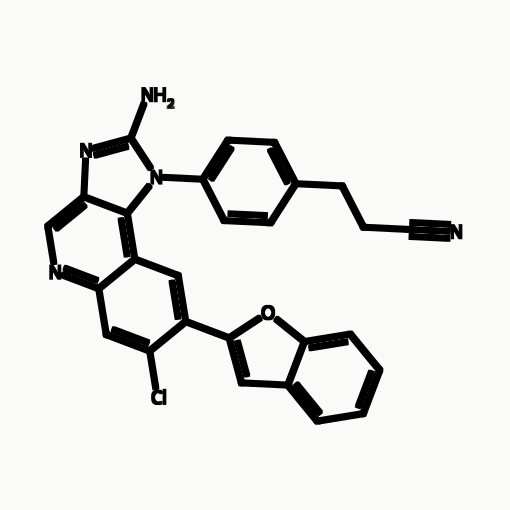 N#CCCc1ccc(-n2c(N)nc3cnc4cc(Cl)c(-c5cc6ccccc6o5)cc4c32)cc1